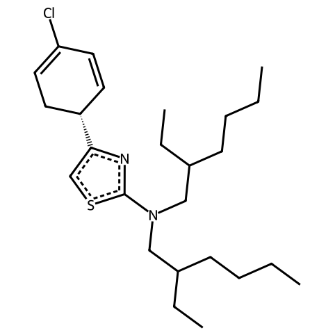 CCCCC(CC)CN(CC(CC)CCCC)c1nc([C@H]2C=CC(Cl)=CC2)cs1